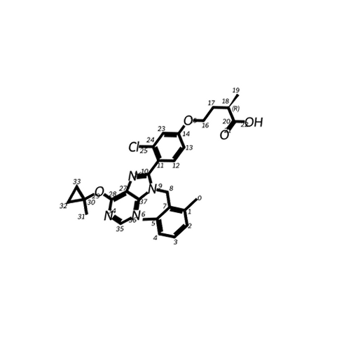 Cc1cccc(C)c1Cn1c(-c2ccc(OCC[C@@H](C)C(=O)O)cc2Cl)nc2c(OC3(C)CC3)ncnc21